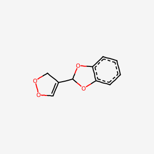 C1=C(C2Oc3ccccc3O2)COO1